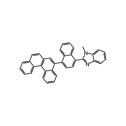 Cn1c(-c2ccc(-c3cc4ccc5ccccc5c4c4ccccc34)c3ccccc23)nc2ccccc21